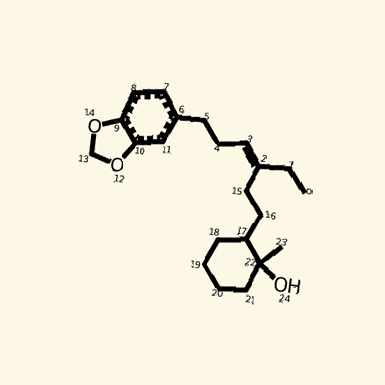 CCC(=CCCc1ccc2c(c1)OCO2)CCC1CCCCC1(C)O